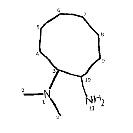 CN(C)C1CCCCCCC1N